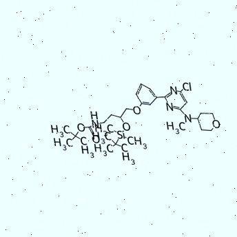 CN(c1cc(Cl)nc(-c2cccc(OCC(CCNC(=O)OC(C)(C)C)O[Si](C)(C)C(C)(C)C)c2)n1)C1CCOCC1